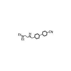 CCN(CC)CCNCc1ccc(-c2ccc(C#N)cc2)cc1